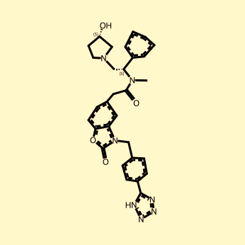 CN(C(=O)Cc1ccc2oc(=O)n(Cc3ccc(-c4nnn[nH]4)cc3)c2c1)[C@H](CN1CC[C@H](O)C1)c1ccccc1